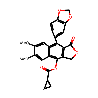 COc1cc2c(OC(=O)C3CC3)c3c(c(-c4ccc5c(c4)OCO5)c2cc1OC)C(=O)OC3